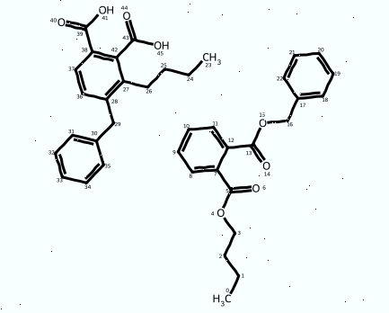 CCCCOC(=O)c1ccccc1C(=O)OCc1ccccc1.CCCCc1c(Cc2ccccc2)ccc(C(=O)O)c1C(=O)O